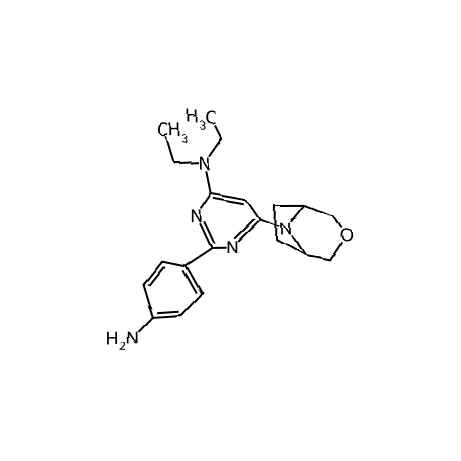 CCN(CC)c1cc(N2C3CCC2COC3)nc(-c2ccc(N)cc2)n1